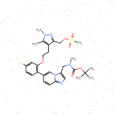 Cc1c(CCOc2cc(F)ccc2-c2ccc3ncc(CN(C)C(=O)OC(C)(C)C)n3c2)c(COS(C)(=O)=O)nn1C